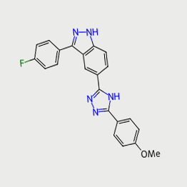 COc1ccc(-c2nnc(-c3ccc4[nH]nc(-c5ccc(F)cc5)c4c3)[nH]2)cc1